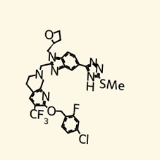 CSc1nnc(-c2ccc3c(c2)nc(CN2CCc4cc(C(F)(F)F)c(OCc5ccc(Cl)cc5F)nc4C2)n3C[C@@H]2CCO2)[nH]1